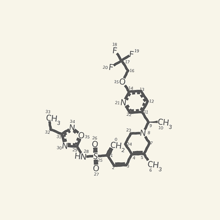 C=C(/C=C\C1=C(C)CN([C@H](C)c2ccc(OCC(F)(F)F)nc2)CC1)S(=O)(=O)Nc1nc(CC)no1